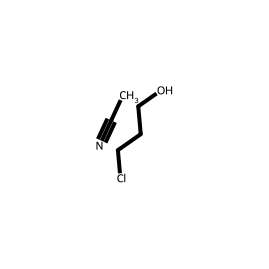 CC#N.OCCCCl